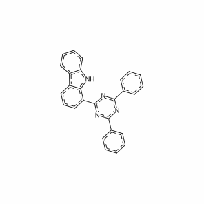 c1ccc(-c2nc(-c3ccccc3)nc(-c3cccc4c3[nH]c3ccccc34)n2)cc1